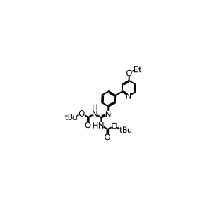 CCOc1ccnc(-c2cccc(N=C(NC(=O)OC(C)(C)C)NC(=O)OC(C)(C)C)c2)c1